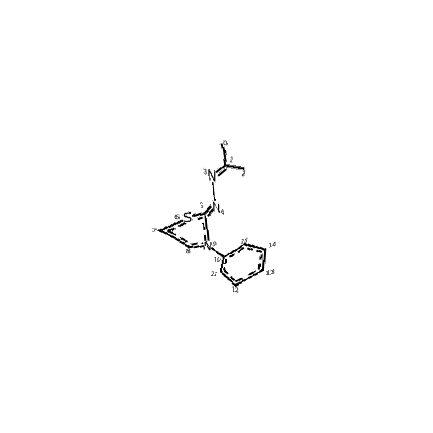 CC(C)=NN=c1sccn1-c1ccccc1